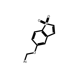 CC(=O)COc1ccc2c(c1)C=CS2(=O)=O